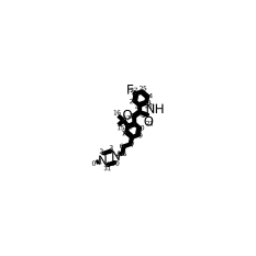 CN1CCN(CCCc2ccc3c(c2)C(C)(C)O/C3=C2/C(=O)Nc3ccc(F)cc32)CC1